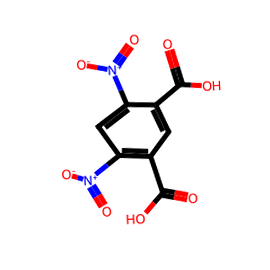 O=C(O)c1cc(C(=O)O)c([N+](=O)[O-])cc1[N+](=O)[O-]